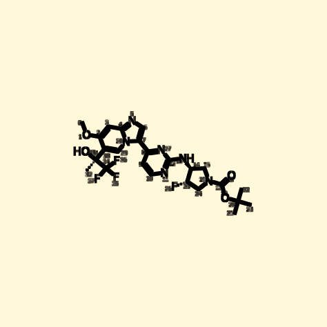 COc1cc2ncc(-c3ccnc(N[C@H]4CN(C(=O)OC(C)(C)C)C[C@@H]4F)n3)n2cc1[C@](C)(O)C(F)(F)F